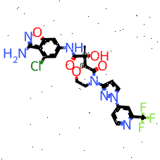 C[C@](O)(C(=O)Nc1cc(Cl)c2c(N)noc2c1)[C@H]1OCCN(c2ccn(-c3ccnc(C(F)(F)F)c3)n2)C1=O